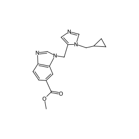 COC(=O)c1ccc2ncn(Cc3cncn3CC3CC3)c2c1